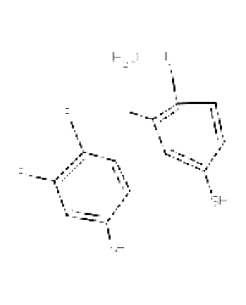 Fc1ccc(S)cc1F.Fc1ccc(S)cc1F.O